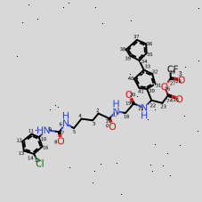 O=C(CCCCNC(=O)Nc1cccc(Cl)c1)NCC(=O)NC(CC(=O)OC(=O)C(F)(F)F)c1ccc(-c2ccccc2)cc1